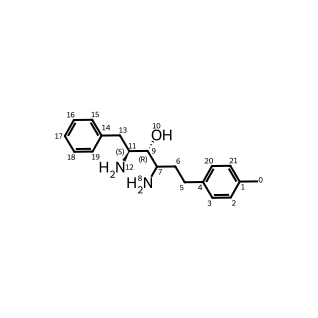 Cc1ccc(CCC(N)[C@@H](O)[C@@H](N)Cc2ccccc2)cc1